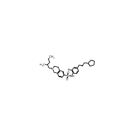 CCCC(C)CN1CCc2cc(S(=O)(=O)Nc3ccc(CCCC4CCCC4)cc3F)ccc2C1